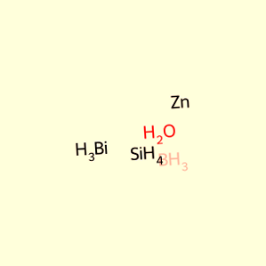 B.O.[BiH3].[SiH4].[Zn]